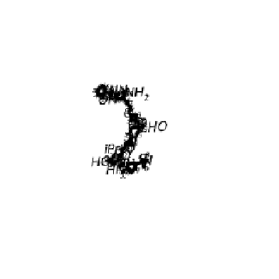 Cc1ncsc1-c1ccc([C@H](C)NC(=O)[C@@H]2C[C@@H](O)CN2C(=O)C(c2cc(N3CCC(OC4CC(OCC#Cc5cn6cc(-c7ccccc7O)nc6nc5N)C4)CC3)no2)C(C)C)cc1.O=CO